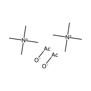 CC(=O)[O-].CC(=O)[O-].C[N+](C)(C)C.C[N+](C)(C)C